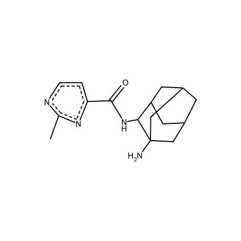 Cc1nccc(C(=O)NC2C3CC4CC(C3)CC2(N)C4)n1